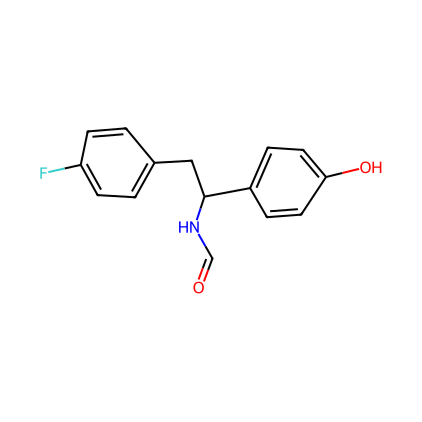 O=CNC(Cc1ccc(F)cc1)c1ccc(O)cc1